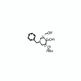 CCCCO[C@@H]1CN(Cc2ccccc2)C[C@H](CO)[C@H]1O